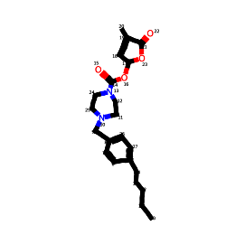 CCCCCc1ccc(CN2CCN(C(=O)OC3C=C(C)C(=O)O3)CC2)cc1